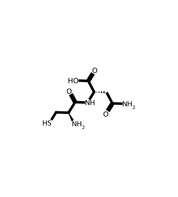 NC(=O)C[C@H](NC(=O)[C@@H](N)CS)C(=O)O